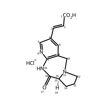 Cl.O=C(O)C=Cc1cnc2c(c1)CN1CCC[C@H]1C(=O)N2